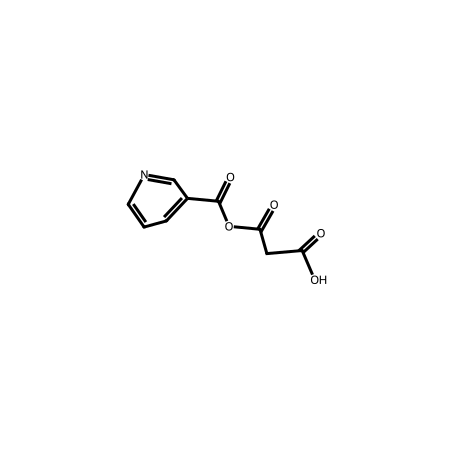 O=C(O)CC(=O)OC(=O)c1cccnc1